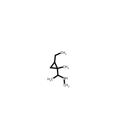 CCC1CC1(C)C(C)NC